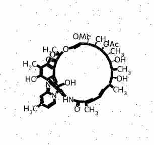 CO[C@H]1/C=C/O[C@@]2(C)Oc3c(C)c(O)c4c(O)c(c5c(nc6cc(C)ccn65)c4c3C2=O)NC(=O)/C(C)=C\C=C\C(C)[C@H](O)C(C)[C@@H](O)[C@@H](C)[C@H](OC(C)=O)[C@@H]1C